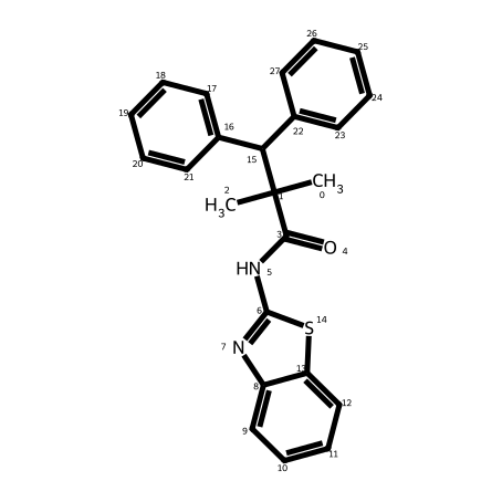 CC(C)(C(=O)Nc1nc2ccccc2s1)C(c1ccccc1)c1ccccc1